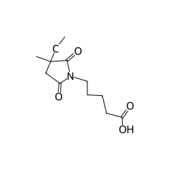 CCC1(C)CC(=O)N(CCCCC(=O)O)C1=O